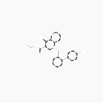 CCOC(=O)c1cn(Cc2ccccc2-c2ccc(Cl)cc2)c2cccnc2c1=O